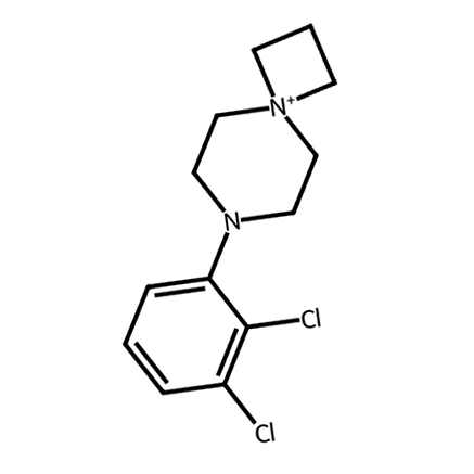 Clc1cccc(N2CC[N+]3(CCC3)CC2)c1Cl